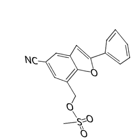 CS(=O)(=O)OCc1cc(C#N)cc2cc(-c3ccccc3)oc12